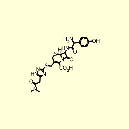 CN(C)C(=O)Cc1nc(SCC2=C(C(=O)O)N3C(=O)C(NC(=O)C(N)c4ccc(O)cc4)[C@@H]3SC2)n[nH]1